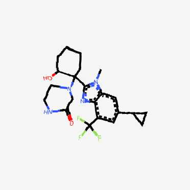 Cn1c(C2(N3CCNC(=O)C3)CCCCC2O)nc2c(C(F)(F)F)cc(C3CC3)cc21